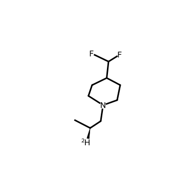 [2H][C@@H](C)CN1CCC(C(F)F)CC1